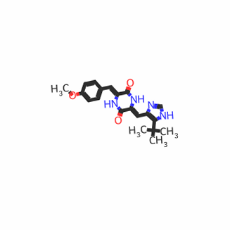 COc1ccc(/C=c2\[nH]c(=O)/c(=C/c3nc[nH]c3C(C)(C)C)[nH]c2=O)cc1